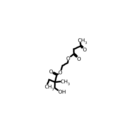 CCC(C)(CO)C(=O)OCCOC(=O)CC(C)=O